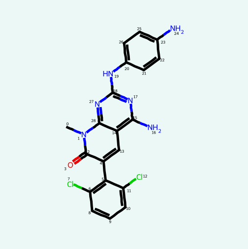 Cn1c(=O)c(-c2c(Cl)cccc2Cl)cc2c(N)nc(Nc3ccc(N)cc3)nc21